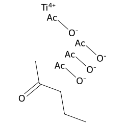 CC(=O)[O-].CC(=O)[O-].CC(=O)[O-].CC(=O)[O-].CCCC(C)=O.[Ti+4]